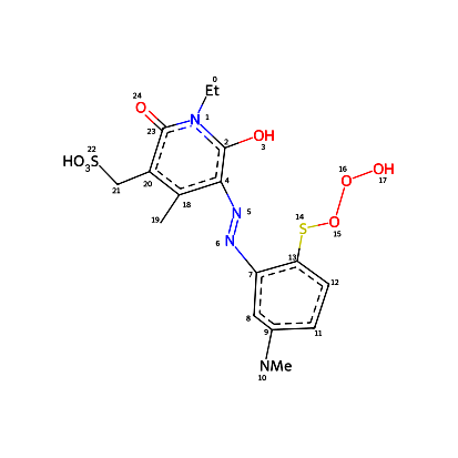 CCn1c(O)c(N=Nc2cc(NC)ccc2SOOO)c(C)c(CS(=O)(=O)O)c1=O